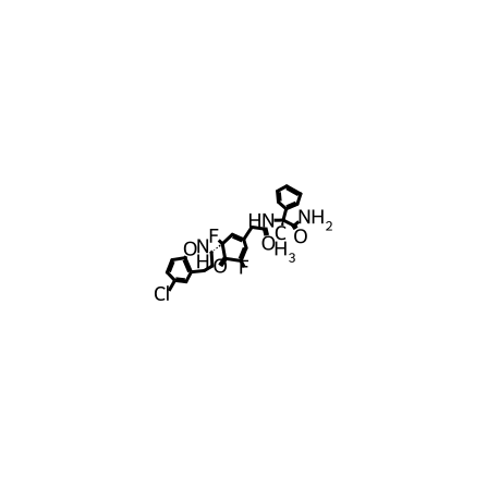 C[C@](NC(=O)CC1=CC(F)([C@@H]2CCc3cc(Cl)ccc3ON2)C(=O)C(F)=C1)(C(N)=O)c1ccccc1